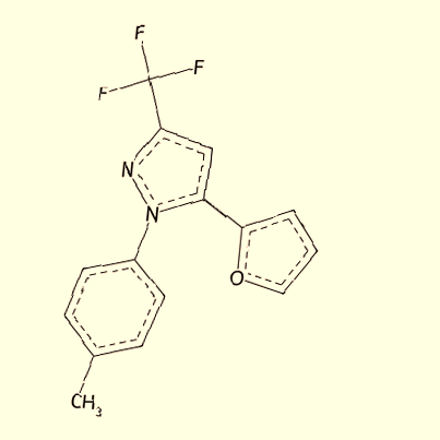 Cc1ccc(-n2nc(C(F)(F)F)cc2-c2ccco2)cc1